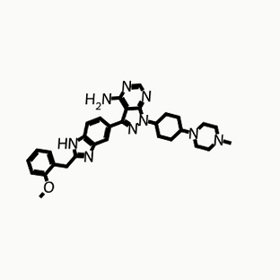 COc1ccccc1Cc1nc2cc(-c3nn(C4CCC(N5CCN(C)CC5)CC4)c4ncnc(N)c34)ccc2[nH]1